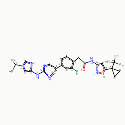 O=C(Cc1ccc(-c2cnc(Nc3cn(C(F)F)cn3)nc2)cc1F)Nc1cc(C2(C(F)(F)F)CC2)on1